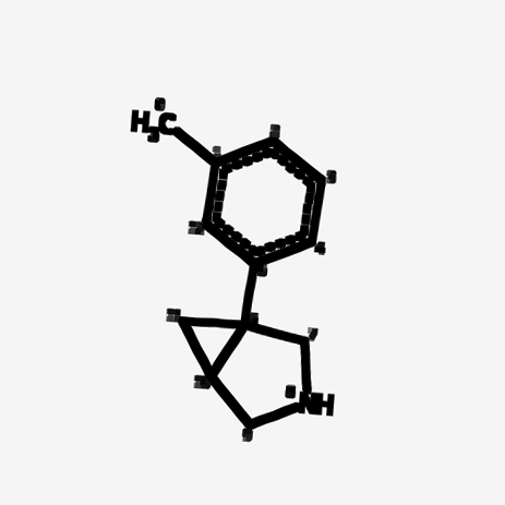 Cc1cccc(C23CNCC2C3)c1